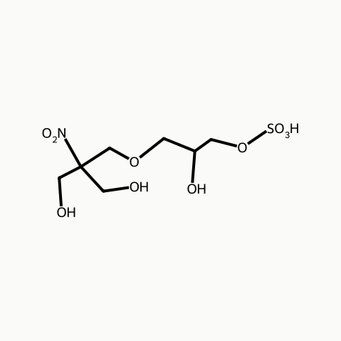 O=[N+]([O-])C(CO)(CO)COCC(O)COS(=O)(=O)O